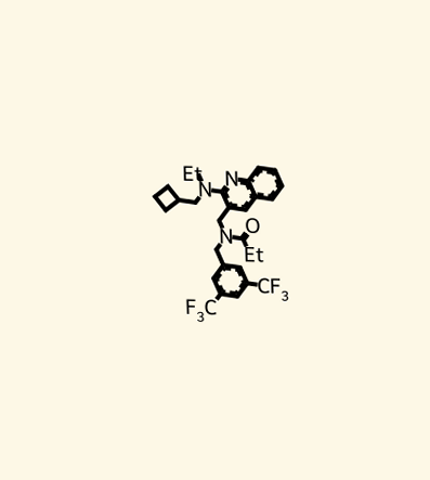 CCC(=O)N(Cc1cc(C(F)(F)F)cc(C(F)(F)F)c1)Cc1cc2ccccc2nc1N(CC)CC1CCC1